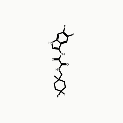 CC1(CNC(=O)C(=O)Nc2c[nH]c3cc(F)c(F)cc23)CCC(F)(F)CC1